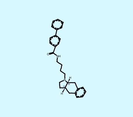 O=C(NCCCCN1CC[C@H]2Cc3ccccc3C[C@H]21)c1ccc(-c2ccccc2)cc1